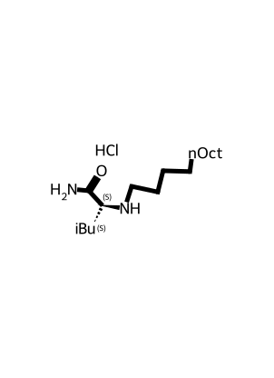 CCCCCCCCCCCCN[C@H](C(N)=O)[C@@H](C)CC.Cl